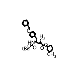 C/C(=C\[C@H](Cc1ccc(OCc2ccccc2)cc1)NC(=O)OC(C)(C)C)C(=O)O[C@H]1CCC[C@@H](C)C1